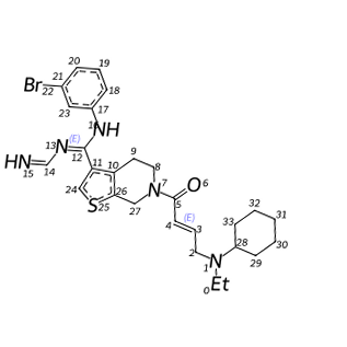 CCN(C/C=C/C(=O)N1CCc2c(/C(=N\C=N)Nc3cccc(Br)c3)csc2C1)C1CCCCC1